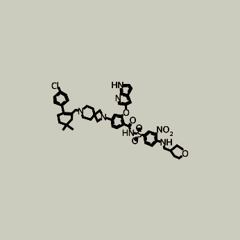 CC1(C)CCC(c2ccc(Cl)cc2)=C(CN2CCC3(CC2)CN(c2ccc(C(=O)NS(=O)(=O)c4ccc(NCC5CCOCC5)c([N+](=O)[O-])c4)c(Oc4cnc5[nH]ccc5c4)c2)C3)C1